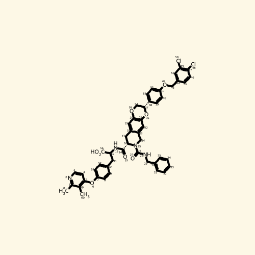 Cc1nccc(Oc2ccc(CC(NC(=O)[C@@H]3Cc4cc5c(cc4CN3C(=O)NCc3ccccc3)O[C@@H](c3ccc(OCc4ccc(Cl)c(Cl)c4)cc3)CO5)C(=O)O)cc2)c1C